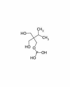 CC(C)C(CO)(CO)COP(O)O